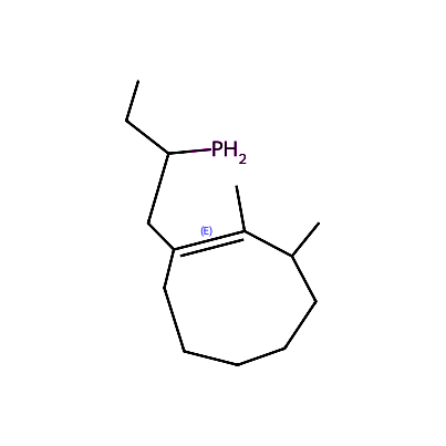 CCC(P)C/C1=C(\C)C(C)CCCCC1